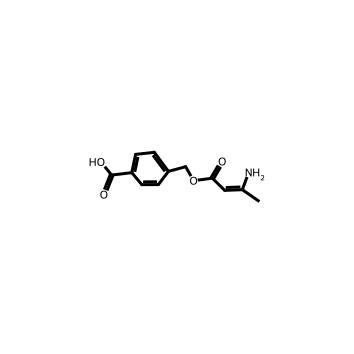 C/C(N)=C/C(=O)OCc1ccc(C(=O)O)cc1